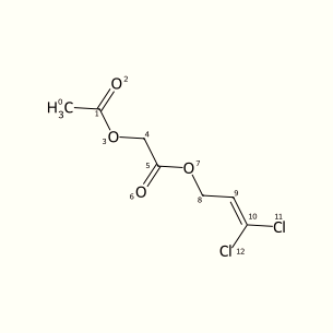 CC(=O)OCC(=O)OCC=C(Cl)Cl